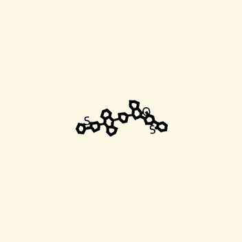 c1ccc2c(c1)sc1cc(-c3c4ccccc4c(-c4ccc(-c5cc6c7cc8sc9ccccc9c8cc7oc6c6ccccc56)cc4)c4ccccc34)ccc12